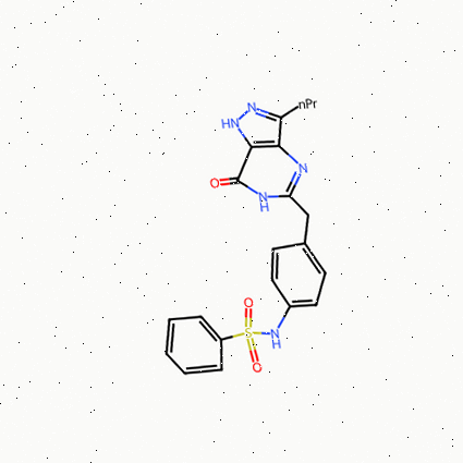 CCCc1n[nH]c2c(=O)[nH]c(Cc3ccc(NS(=O)(=O)c4ccccc4)cc3)nc12